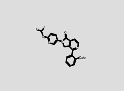 COc1ccccc1-c1nccc2c1CN(c1ccc(OC(F)F)nc1)C2=O